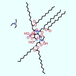 CCCCCCCCCCCC(=O)O[C@H](CCCCCCCCCCC)CC(=O)N[C@@H](CO)CO[C@@H]1O[C@H](CO)[C@@H](OP(=O)(O)O)[C@H](OC(=O)C[C@@H](CCCCCCCCCCC)OC(=O)CCCCCCCCCCC)[C@H]1NC(=O)C[C@@H](CCCCCCCCCCC)OC(=O)CCCCCCCCCCC.CCN(CC)CC